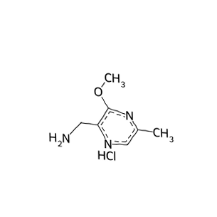 COc1nc(C)cnc1CN.Cl